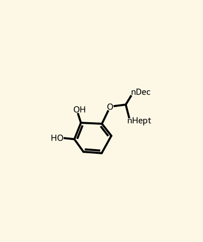 CCCCCCCCCCC(CCCCCCC)Oc1cccc(O)c1O